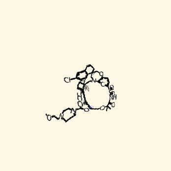 COCCN1CCN(C(=O)O[C@H]2/C=C/COC(C)(C)C(=O)NS(=O)(=O)c3ccc4c(c3)N(C[C@@H]3CC[C@H]32)C[C@@]2(CCCc3cc(Cl)ccc32)CO4)CC1